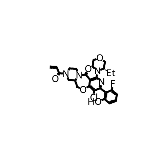 C=CC(=O)N1CCN2C(=O)c3c(N4CCOC[C@@H]4CC)nc(-c4c(O)cccc4F)c(Cl)c3OCC2C1